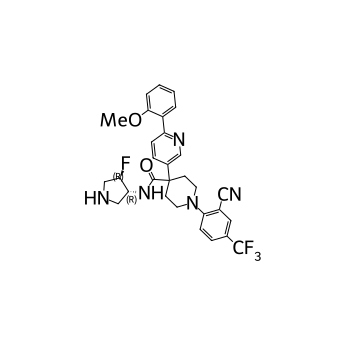 COc1ccccc1-c1ccc(C2(C(=O)N[C@@H]3CNC[C@H]3F)CCN(c3ccc(C(F)(F)F)cc3C#N)CC2)cn1